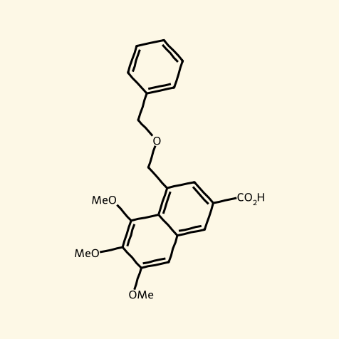 COc1cc2cc(C(=O)O)cc(COCc3ccccc3)c2c(OC)c1OC